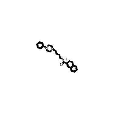 O=C(NCCCCN1CCN(c2ccccc2)CC1)C1=Cc2ccccc2CC1